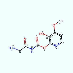 CCCCOc1ccnc(OC(=O)NC(=O)CN)c1O